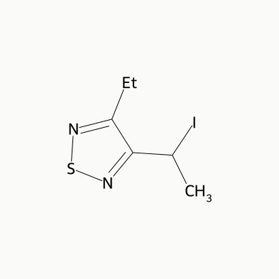 CCc1nsnc1C(C)I